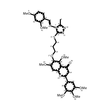 COc1ccc(C=Nn2c(C)nnc2SCCCOc2c(OC)cc3oc(-c4cc(OC)c(OC)c(OC)c4)cc(=O)c3c2OC)c(OC)c1